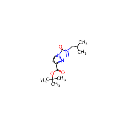 CC(C)CNC(=O)n1ccc(C(=O)OC(C)(C)C)n1